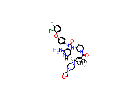 CC(C)(C=C(C#N)C(=O)N1CCC[C@@H](n2c(=O)n(-c3ccc(Oc4cccc(F)c4F)cc3)c3c(N)nccc32)C1)N1CCN(C2COC2)CC1